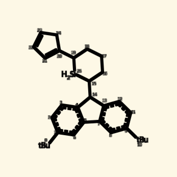 CC(C)(C)c1ccc2c(c1)-c1cc(C(C)(C)C)ccc1C2C1CCCC(C2=CC=CC2)[SiH2]1